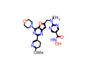 COC1=NC=C(c2nc(N3CCOCC3)c3oc(CN(C)c4ncc(C(=O)NO)cn4)cc3n2)CC1